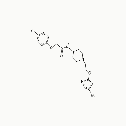 CCc1cc(OCCN2CCC(N(C)C(=O)COc3ccc(Cl)cc3)CC2)ns1